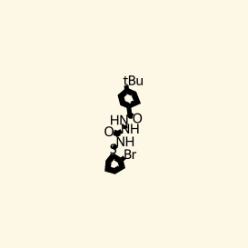 CC(C)(C)c1ccc(C(=O)NNC(=O)NSc2ccccc2Br)cc1